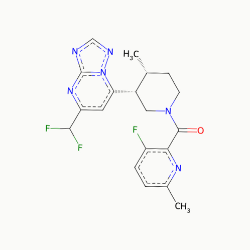 Cc1ccc(F)c(C(=O)N2CC[C@@H](C)[C@@H](c3cc(C(F)F)nc4ncnn34)C2)n1